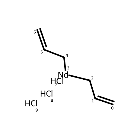 C=C[CH2][Nd][CH2]C=C.Cl.Cl.Cl